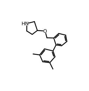 Cc1cc(C)cc(-c2ccccc2COC2CCNC2)c1